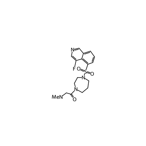 CNCC(=O)N1CCCN(S(=O)(=O)c2cccc3cncc(F)c23)CC1